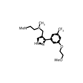 CNCCN(C)Cc1c[nH]nc1-c1cc(OCCOC)cc(C(F)(F)F)c1